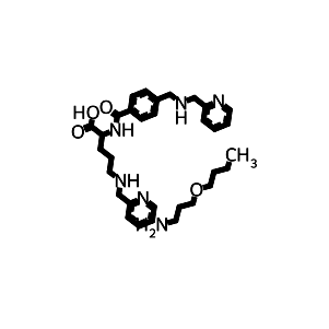 CCCCOCCCN.O=C(NC(CCCNCc1ccccn1)C(=O)O)c1ccc(CNCc2ccccn2)cc1